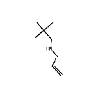 C=CSNCC(C)(C)C